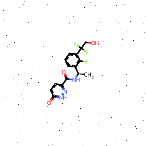 C[C@@H](NC(=O)c1ccc(=O)[nH]n1)c1cccc(C(F)(F)CO)c1F